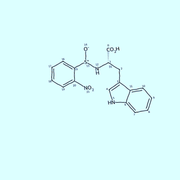 O=C(O)[C@H](Cc1c[nH]c2ccccc12)N[S+]([O-])c1ccccc1[N+](=O)[O-]